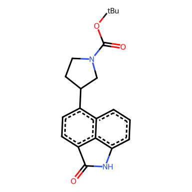 CC(C)(C)OC(=O)N1CCC(c2ccc3c4c(cccc24)NC3=O)C1